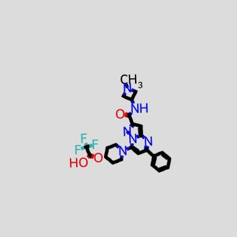 CN1CC(NC(=O)c2cc3nc(-c4ccccc4)cc(N4CCCCC4)n3n2)C1.O=C(O)C(F)(F)F